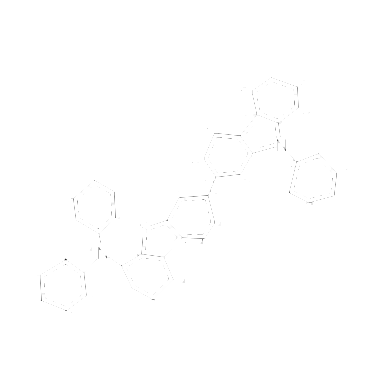 c1ccc(N(c2ccccc2)c2cccc3c2sc2cc(-c4ccc5c6ccccc6n(-c6ccccc6)c5c4)ccc23)cc1